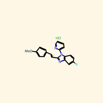 COc1ccc(/C=C/c2nc3cc(F)ccc3n2-c2ccccn2)cc1.Cl